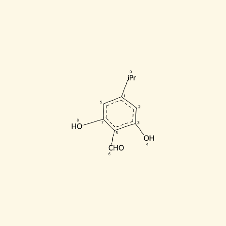 CC(C)c1cc(O)c(C=O)c(O)c1